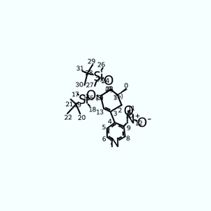 C[C@H]1CC(c2ccncc2[N+](=O)[O-])=C[C@H](O[Si](C)(C)C(C)(C)C)[C@@H]1O[Si](C)(C)C(C)(C)C